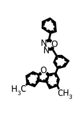 Cc1ccc2oc3c(-c4cccc(-c5nnc(-c6ccccc6)o5)c4)cc(C)cc3c2c1